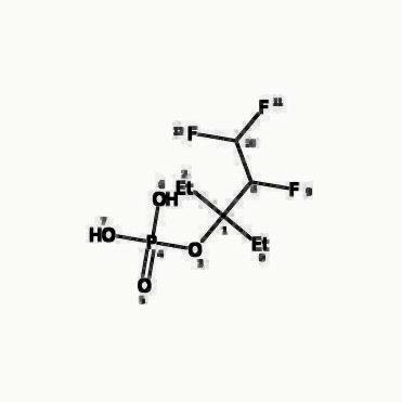 CCC(CC)(OP(=O)(O)O)C(F)C(F)F